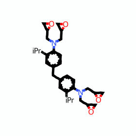 CC(C)c1cc(Cc2ccc(N(CC3CO3)CC3CO3)c(C(C)C)c2)ccc1N(CC1CO1)CC1CO1